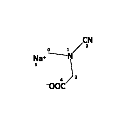 CN(C#N)CC(=O)[O-].[Na+]